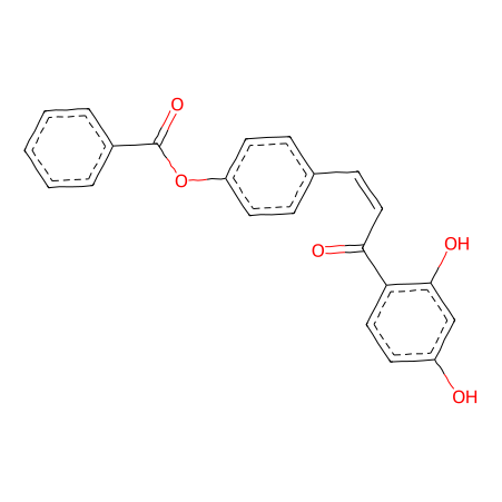 O=C(Oc1ccc(/C=C\C(=O)c2ccc(O)cc2O)cc1)c1ccccc1